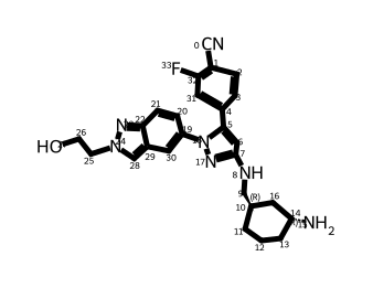 N#Cc1ccc(-c2cc(NC[C@@H]3CCC[C@@H](N)C3)nn2-c2ccc3nn(CCO)cc3c2)cc1F